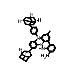 Cc1cc2c3c(c1)N(c1ccc(C45C[C@H]6C[C@H](C4)C[C@@H](C5)C6)cc1)c1ccc(C45CC6CC7C[C@H](C4)[C@]76C5)cc1B3Nc1c(N)cccc1-2